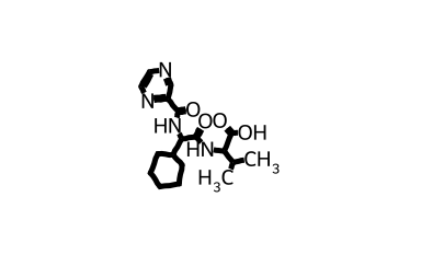 CC(C)C(NC(=O)C(NC(=O)c1cnccn1)C1CCCCC1)C(=O)O